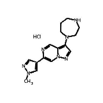 Cl.Cn1cc(-c2cn3ncc(N4CCCNCC4)c3cn2)cn1